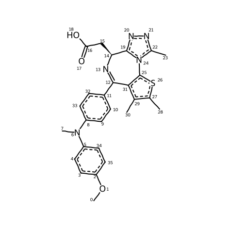 COc1ccc(N(C)c2ccc(C3=N[C@@H](CC(=O)O)c4nnc(C)n4-c4sc(C)c(C)c43)cc2)cc1